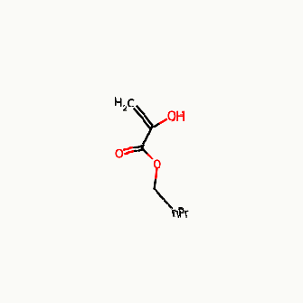 C=C(O)C(=O)OCCCC